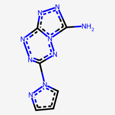 Nc1nnc2nnc(-n3cccn3)nn12